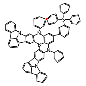 c1ccc(N2c3cc4c(cc3B3c5cc6c7cccc8c9ccccc9n(c6cc5N(c5ccccc5)c5cc(-c6cccc(S(c9ccccc9)(c9ccccc9)c9ccccc9)c6)cc2c53)c87)c2cccc3c5ccccc5n4c32)cc1